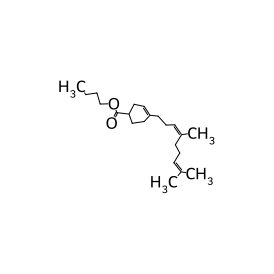 CCCCOC(=O)C1CC=C(CCC=C(C)CCC=C(C)C)CC1